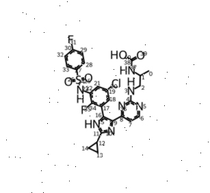 CC(CNc1nccc(-c2nc(C3CC3)[nH]c2-c2cc(Cl)cc(NS(=O)(=O)c3ccc(F)cc3)c2F)n1)NC(=O)O